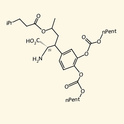 CCCCCOC(=O)Oc1ccc(C(CC(C)OC(=O)CCC(C)C)[C@H](N)C(=O)O)cc1OC(=O)OCCCCC